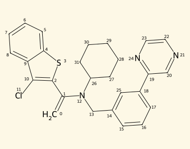 C=C(c1sc2ccccc2c1Cl)N(Cc1cccc(-c2cnccn2)c1)C1CCCCC1